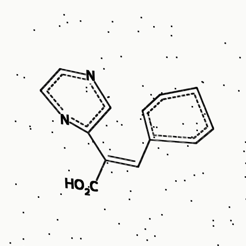 O=C(O)C(=Cc1ccccc1)c1cnccn1